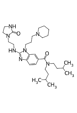 CC(C)CCN(CCC(C)C)C(=O)c1ccc2nc(NCCN3CCNC3=O)n(CCCN3CCCCC3)c2c1